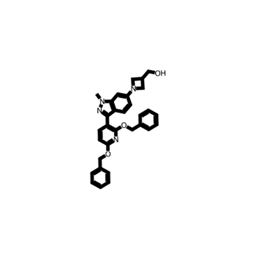 Cn1nc(-c2ccc(OCc3ccccc3)nc2OCc2ccccc2)c2ccc(N3CC(CO)C3)cc21